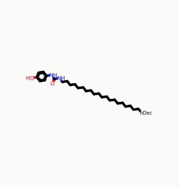 CCCCCCCCCCCCCCCCCCCCCCCCCCCCCCNC(=O)Nc1ccc(O)cc1